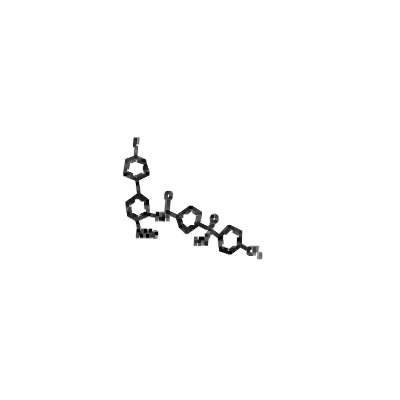 CNc1ccc(-c2ccc(F)cc2)cc1NC(=O)c1ccc(S(=N)(=O)c2ccc(C(F)(F)F)cc2)cc1